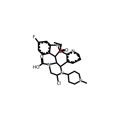 CCOc1ncccc1C1C(C2C(=O)Nc3cc(F)ccc32)N(C(=O)O)CC(Cl)N1C1CCN(C)CC1